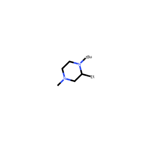 CCC1CN(C)CCN1C(C)(C)C